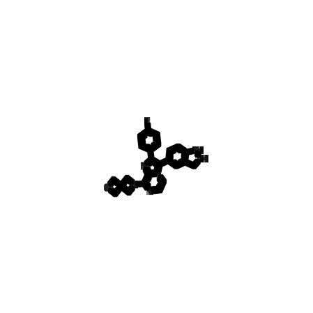 Fc1ccc(-c2nc3c(N4CC5(COC5)C4)nccn3c2-c2ccc3c(c2)CNN3)cc1